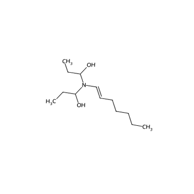 CCCCCC=CN(C(O)CC)C(O)CC